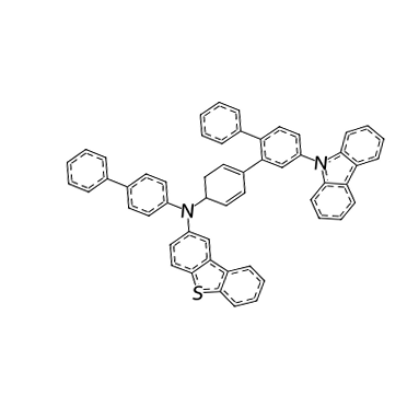 C1=CC(N(c2ccc(-c3ccccc3)cc2)c2ccc3sc4ccccc4c3c2)CC=C1c1cc(-n2c3ccccc3c3ccccc32)ccc1-c1ccccc1